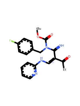 CCC(=O)/C(=C/Nc1ccccn1)C(=N)N(Cc1ccc(F)cc1)C(=O)OC(C)(C)C